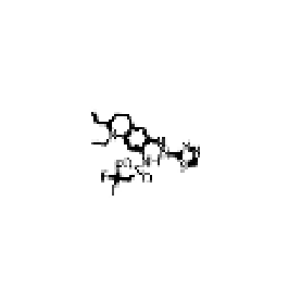 CCC1CCc2cc(N=Nc3nncs3)c(NS(=O)(=O)CC(F)(F)F)cc2N1CC